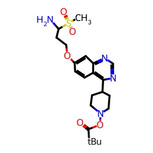 CC(C)(C)C(=O)ON1CCC(c2ncnc3cc(OCCC(N)S(C)(=O)=O)ccc23)CC1